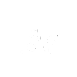 N[C@H](c1ccc(Cl)cc1)[C@H](NC(=O)O)c1ccc(Cl)cc1